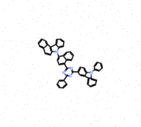 c1ccc(-c2nc(-c3ccc4c(c3)c3ccccc3n4-c3ccccc3)nc(-c3ccc(-n4c5ccccc5c5c6ccccc6ccc54)c4ccccc34)n2)cc1